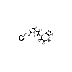 CC(C)C(NC(=O)OCc1ccccc1)C(=O)NC1Cc2ocnc2CNC(=O)C1=O